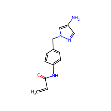 C=CC(=O)Nc1ccc(Cn2cc(N)cn2)cc1